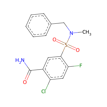 CN(Cc1ccccc1)S(=O)(=O)c1cc(C(N)=O)c(Cl)cc1F